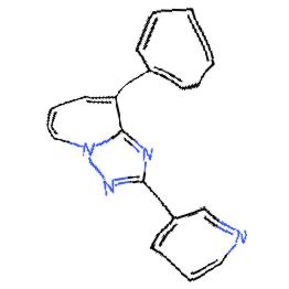 c1ccc(-c2cccn3nc(-c4cccnc4)nc23)cc1